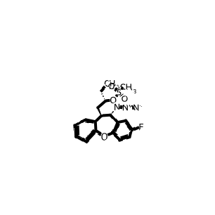 CC[C@@H](C[C@@H]1c2ccccc2Oc2ccc(F)cc2[C@H]1N=[N+]=[N-])OS(C)(=O)=O